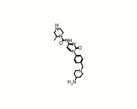 C[C@H]1CNCCN1C(=O)Nc1ccn(-c2ccc(CN3CCC(N)CC3)cc2)c(=O)n1